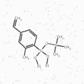 C=Cc1ccc([Si](OCC)(OCC)O[Si](C)(C)C)c(C)c1